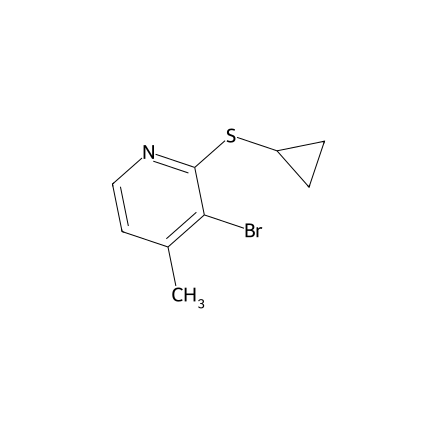 Cc1ccnc(SC2CC2)c1Br